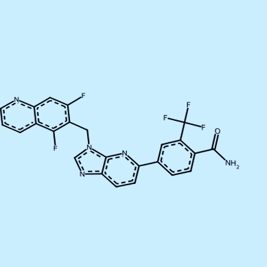 NC(=O)c1ccc(-c2ccc3ncn(Cc4c(F)cc5ncccc5c4F)c3n2)cc1C(F)(F)F